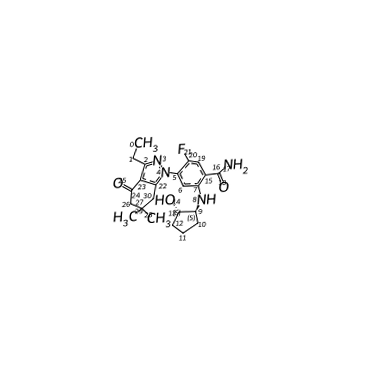 CCc1nn(-c2cc(N[C@H]3CCC[C@@H]3O)c(C(N)=O)cc2F)c2c1C(=O)CC(C)(C)C2